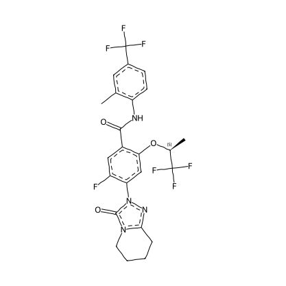 Cc1cc(C(F)(F)F)ccc1NC(=O)c1cc(F)c(-n2nc3n(c2=O)CCCC3)cc1O[C@@H](C)C(F)(F)F